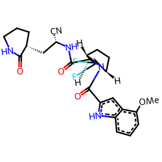 COc1cccc2[nH]c(C(=O)N3[C@H]4CC[C@@H]([C@@H]3C(=O)N[C@@H](C#N)C[C@H]3CCCNC3=O)C(F)(F)C4)cc12